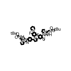 C=Nc1cc([C@@H]2CCC(c3ccc4[nH]c([C@@H]5CCCN5C(=O)CNC(=O)OC(C)(C)C)nc4c3)N2c2cc(F)c(N3CCCCC3)cc2F)ccc1NC1CCCN1C(=O)CNC(=O)OC(C)(C)C